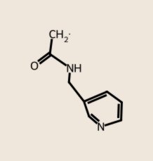 [CH2]C(=O)NCc1cccnc1